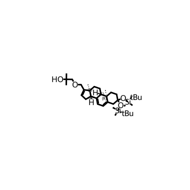 CC(C)(O)COCC1=CC[C@H]2C3=CC=C4CC(O[Si](C)(C)C(C)(C)C)(O[Si](C)(C)C(C)(C)C)CC[C@]4(C)[C@H]3CC[C@]12C